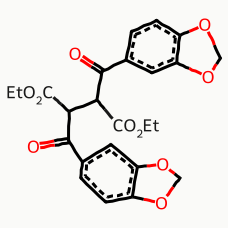 CCOC(=O)C(C(=O)c1ccc2c(c1)OCO2)C(C(=O)OCC)C(=O)c1ccc2c(c1)OCO2